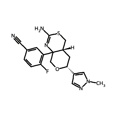 Cn1cc([C@H]2C[C@H]3CSC(N)=NC3(c3cc(C#N)ccc3F)CO2)cn1